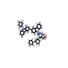 c1ccc(-c2cccc(-c3nc(-n4c5ccccc5c5cc(-c6ccc7c(c6)c6ccccc6n7-c6ccccc6)ccc54)nc4occc34)c2)cc1